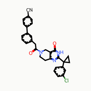 N#Cc1ccc(-c2cccc(CC(=O)N3CCc4nc(C5(c6cccc(Cl)c6)CC5)[nH]c(=O)c4C3)c2)cc1